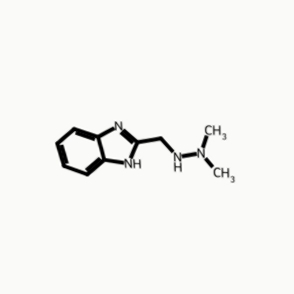 CN(C)NCc1nc2ccccc2[nH]1